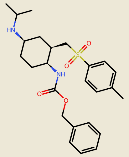 Cc1ccc(S(=O)(=O)C[C@@H]2C[C@H](NC(C)C)CC[C@@H]2NC(=O)OCc2ccccc2)cc1